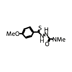 CNC(=O)NNC(=S)c1ccc(OC)cc1